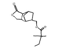 CCC(C)(C)C(=O)OCC1CC2CC1C1COC(=O)C21